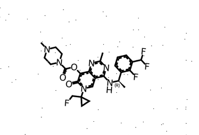 Cc1nc(N[C@H](C)c2cccc(C(F)F)c2F)c2cn(C3(CF)CC3)c(=O)c(OC(=O)N3CCN(C)CC3)c2n1